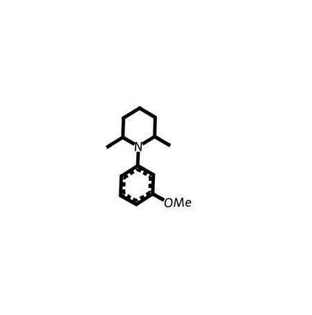 COc1cccc(N2C(C)CCCC2C)c1